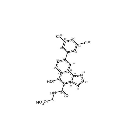 O=C(O)CNC(=O)c1c(O)c2ccc(-c3cc(Cl)cc(Cl)c3)cc2c2ncnn12